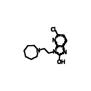 Oc1nc2ccc(Cl)nc2n1CCN1CCCCCC1